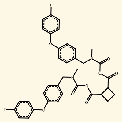 CN(Cc1ccc(Oc2ccc(F)cc2)cc1)C(=O)OC(=O)C1CCC1C(=O)OC(=O)N(C)Cc1ccc(Oc2ccc(F)cc2)cc1